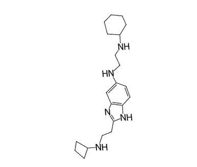 c1cc2[nH]c(CCNC3CCC3)nc2cc1NCCNC1CCCCC1